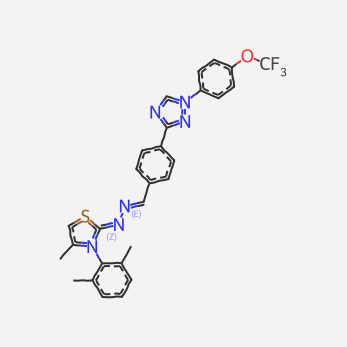 Cc1cccc(C)c1-n1c(C)cs/c1=N\N=C\c1ccc(-c2ncn(-c3ccc(OC(F)(F)F)cc3)n2)cc1